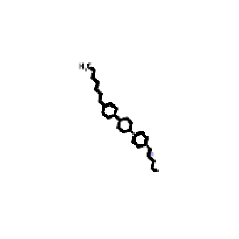 CCCCCCCC1CCC(C2CCC([C@H]3CC[C@H](/C=C/CCF)CC3)CC2)CC1